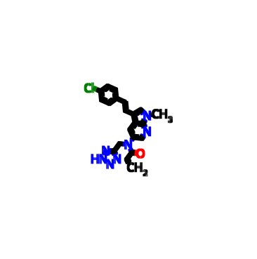 C=CC(=O)N(Cc1nn[nH]n1)c1cnc2c(c1)c(/C=C/c1ccc(Cl)cc1)cn2C